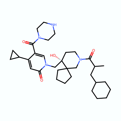 CC(CC1CCCCC1)C(=O)N1CC[C@](O)(Cn2cc(C(=O)N3CCNCC3)c(C3CC3)cc2=O)C2(CCCC2)C1